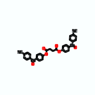 [C-]#[N+]c1cc[c]([Co](=[O])[c]2ccc(OC(=O)CCC(=O)Oc3cc[c]([Co](=[O])[c]4ccc(C#N)cc4)cc3)cc2)cc1